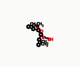 C=COc1cc2oc3cc(OCCCO)c(-c4ccc5c(c4)C(C)(C)c4ccccc4-5)cc3c2cc1-c1ccc2c(c1)C(C)(C)c1ccccc1-2